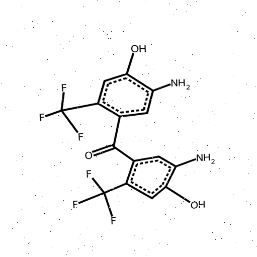 Nc1cc(C(=O)c2cc(N)c(O)cc2C(F)(F)F)c(C(F)(F)F)cc1O